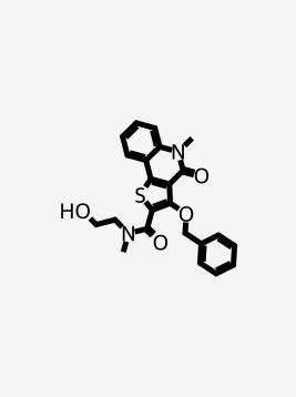 CN(CCO)C(=O)c1sc2c(c1OCc1ccccc1)c(=O)n(C)c1ccccc21